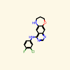 Fc1ccc(Nc2ncnc3cc4c(cc23)NCCCO4)cc1Cl